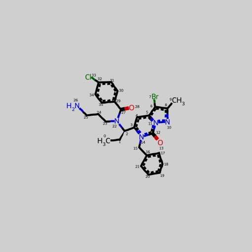 CC[C@H](c1cc2c(Br)c(C)nn2c(=O)n1Cc1ccccc1)N(CCCN)C(=O)c1ccc(Cl)cc1